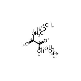 O.O.O.O.O.O=C(O)C(=O)O.[Fe]